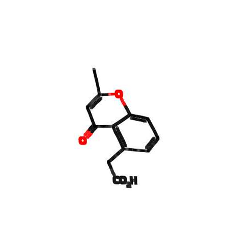 Cc1cc(=O)c2c(CC(=O)O)cccc2o1